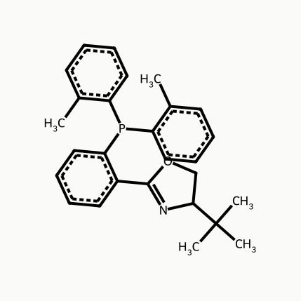 Cc1ccccc1P(c1ccccc1C)c1ccccc1C1=NC(C(C)(C)C)CO1